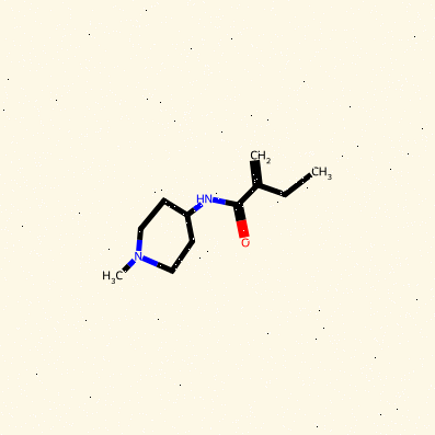 C=C(CC)C(=O)NC1CCN(C)CC1